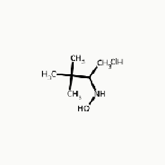 CC(NO)C(C)(C)C.Cl